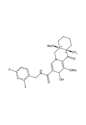 COC1=C2C(=O)[C@@]3(C)CCCC[C@@]3(OC)CN2C=C(C(=O)NCc2ccc(F)cc2F)C1O